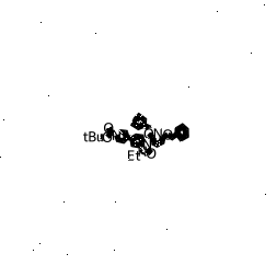 CCn1c(=O)n(-c2ccc(OCc3ccccc3)nc2OCc2ccccc2)c2ccc(C3=CCN(C(=O)OC(C)(C)C)CC3)cc21